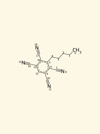 CCCCCc1c(C#N)c(C#N)cc(C#N)c1C#N